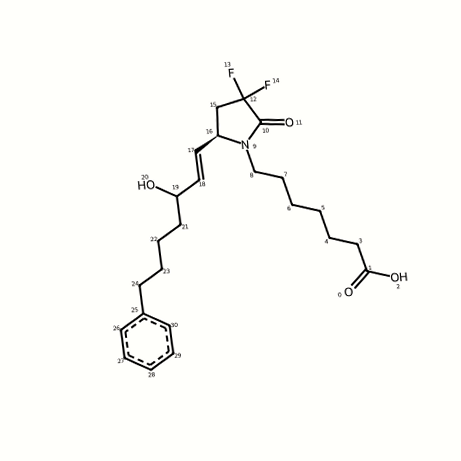 O=C(O)CCCCCCN1C(=O)C(F)(F)C[C@@H]1/C=C/C(O)CCCCc1ccccc1